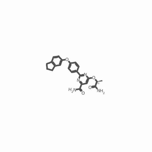 C[C@H](Oc1cc(C(N)=O)nc(-c2ccc(Oc3ccc4c(c3)CCC4)cc2)n1)C(N)=O